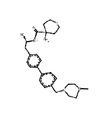 CN1CCN(Cc2ccc(-c3ccc(C[C@@H](C#N)NC(=O)C4(N)CCOCC4)cc3)cc2)CC1